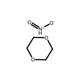 C1COCCO1.O=[NH+][O-]